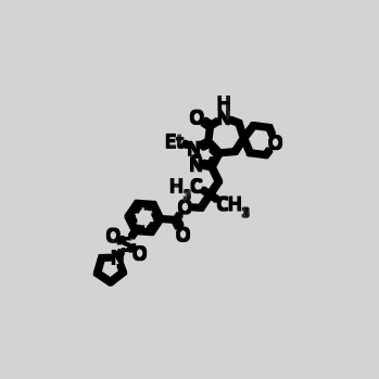 CCn1nc(CC(C)(C)COC(=O)c2cccc(S(=O)(=O)N3CCCC3)c2)c2c1C(=O)NCC1(CCOCC1)C2